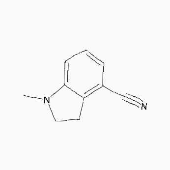 CN1CCc2c(C#N)cccc21